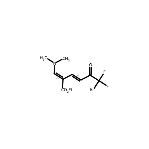 CCOC(=O)C(/C=C/C(=O)C(F)(F)Br)=C/N(C)C